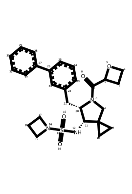 O=C(C1CCO1)N1CC2(CC2)[C@H](NS(=O)(=O)N2CCC2)[C@@H]1Cc1cccc(-c2ccccc2)c1